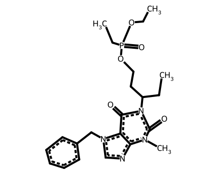 CCOP(=O)(CC)OCCC(CC)n1c(=O)c2c(ncn2Cc2ccccc2)n(C)c1=O